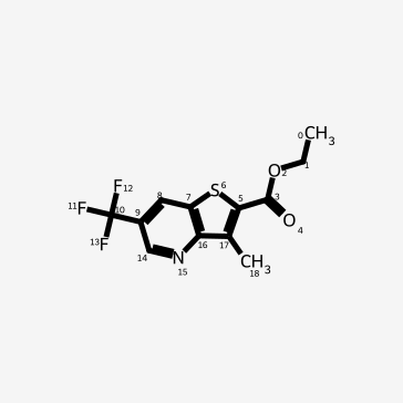 CCOC(=O)c1sc2cc(C(F)(F)F)cnc2c1C